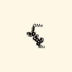 COCCOCOc1ccc(N2CCc3cc(-c4ccc(C(C)(C)C)cc4N4CCO[C@H](C)C4)ccc3C2=O)cc1NS(C)(=O)=O